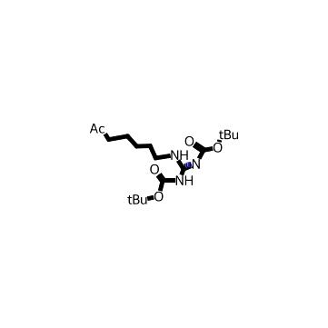 CC(=O)CCCCCN/C(=N\C(=O)OC(C)(C)C)NC(=O)OC(C)(C)C